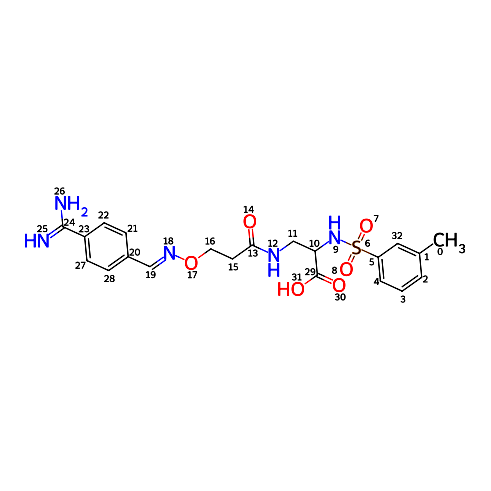 Cc1cccc(S(=O)(=O)NC(CNC(=O)CCO/N=C/c2ccc(C(=N)N)cc2)C(=O)O)c1